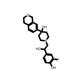 Oc1ccc(C(O)CN2CCC(O)(c3ccc4c(c3)COCC4)CC2)cc1F